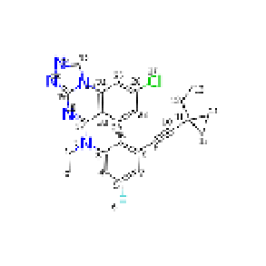 CCN(c1cc(F)cc(C#CC2(CC)CC2)c1)c1nc2nncn2c2cc(Cl)ccc12